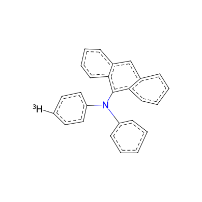 [3H]c1ccc(N(c2ccccc2)c2c3ccccc3cc3ccccc23)cc1